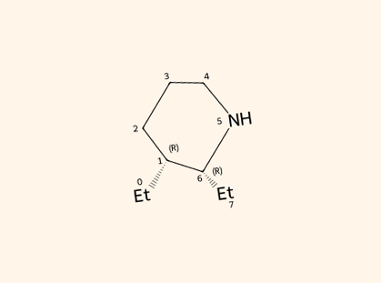 CC[C@@H]1CCCN[C@@H]1CC